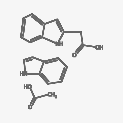 CC(=O)O.O=C(O)Cc1cc2ccccc2[nH]1.c1ccc2[nH]ccc2c1